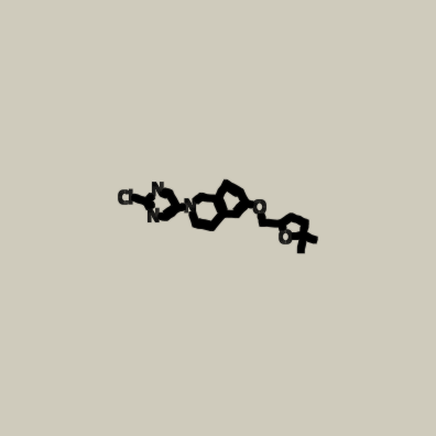 CC1(C)CCC(COc2ccc3c(c2)C=CN(c2cnc(Cl)nc2)C3)O1